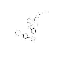 CC(C)(C)OC(=O)NCC(=O)N1CCC[C@H]1c1nc2cc([C@@H]3CCCN3c3ccc(N4CCCCC4)c(F)c3)ccc2[nH]1